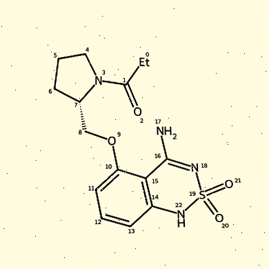 CCC(=O)N1CCC[C@H]1COc1cccc2c1C(N)=NS(=O)(=O)N2